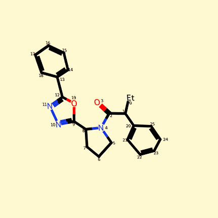 CCC(C(=O)N1CCCC1c1nnc(-c2ccccc2)o1)c1ccccc1